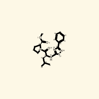 COC(=O)[C@@H]1CCCN1C(=O)[C@H](CC(C)C)Nc1nc(-c2ccccc2)ns1